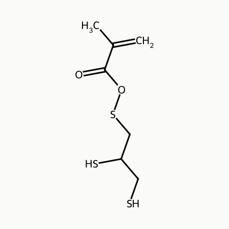 C=C(C)C(=O)OSCC(S)CS